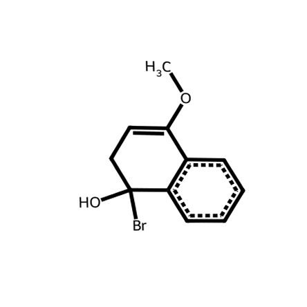 COC1=CCC(O)(Br)c2ccccc21